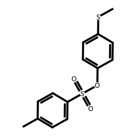 CSc1ccc(OS(=O)(=O)c2ccc(C)cc2)cc1